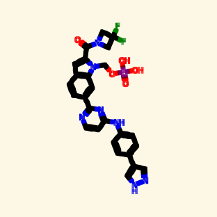 O=C(c1cc2ccc(-c3nccc(Nc4ccc(-c5cn[nH]c5)cc4)n3)cc2n1COP(=O)(O)O)N1CC(F)(F)C1